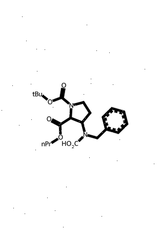 CCCOC(=O)C1C(N(Cc2ccccc2)C(=O)O)CCN1C(=O)OC(C)(C)C